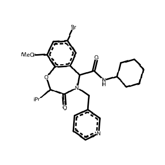 COc1cc(Br)cc2c1OC(C(C)C)C(=O)N(Cc1cccnc1)C2C(=O)NC1CCCCC1